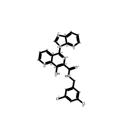 O=C(NCc1cc(Cl)cc(Cl)c1)c1nc(-n2cnc3cccnc32)c2cccnc2c1O